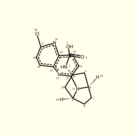 O=C(O)N[C@@H]1C[C@H]2CC[C@@H](C1)N2c1cnc2nc(Cl)ccc2n1